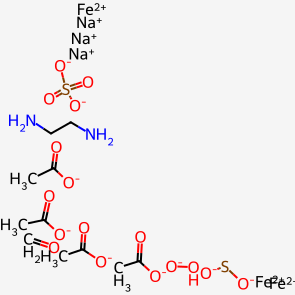 C=O.CC(=O)[O-].CC(=O)[O-].CC(=O)[O-].CC(=O)[O-].NCCN.O=S(=O)([O-])[O-].[Fe+2].[Fe+2].[Fe+2].[Na+].[Na+].[Na+].[O-]O.[O-]S[O-]